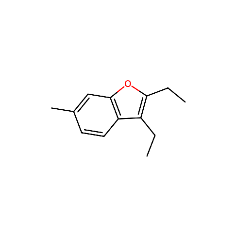 CCc1oc2cc(C)ccc2c1CC